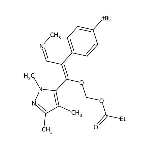 CCC(=O)OCO/C(=C(/C=N\C)c1ccc(C(C)(C)C)cc1)c1c(C)c(C)nn1C